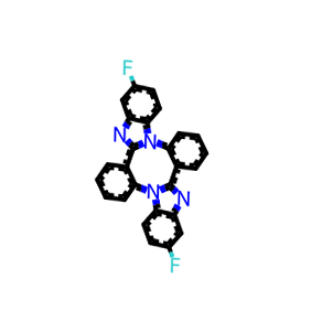 Fc1ccc2c(c1)nc1c3ccccc3n3c4ccc(F)cc4nc3c3ccccc3n21